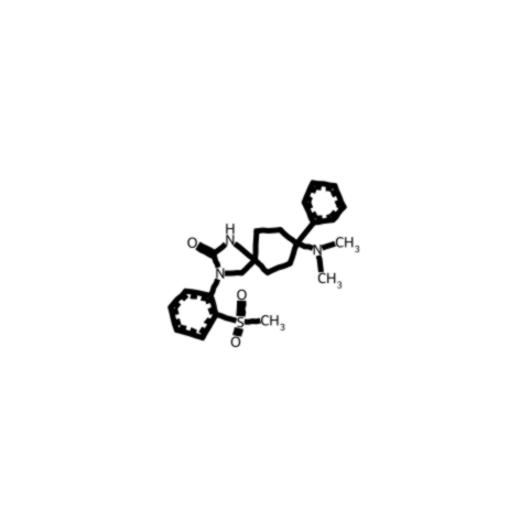 CN(C)C1(c2ccccc2)CCC2(CC1)CN(c1ccccc1S(C)(=O)=O)C(=O)N2